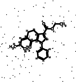 CCOC(=O)c1nn(-c2ccccn2)c2c1CC/C(=C/N(C)C)C2=O